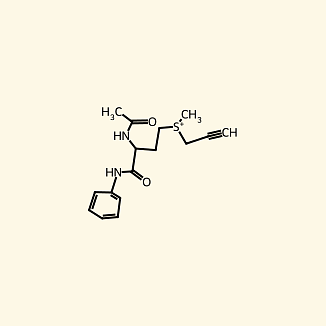 C#CC[S+](C)CCC(NC(C)=O)C(=O)Nc1ccccc1